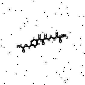 CC(C)C(=O)OCc1ccc(NC(=O)NCCCNC(N)=O)cc1